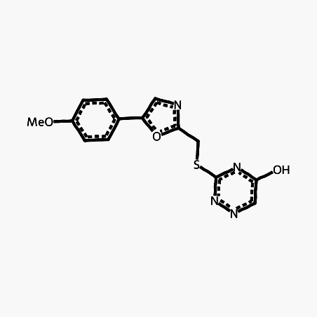 COc1ccc(-c2cnc(CSc3nncc(O)n3)o2)cc1